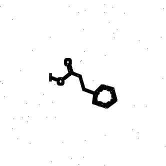 O=C(CCc1ccccc1)OI